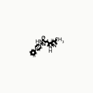 Cc1cnc2[nH]cc(C=C3N=C(N4CCN(c5ccccc5)CC4)NC3=O)c2c1